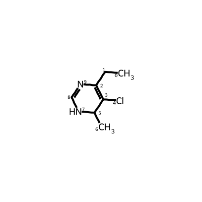 CCC1=C(Cl)C(C)NC=N1